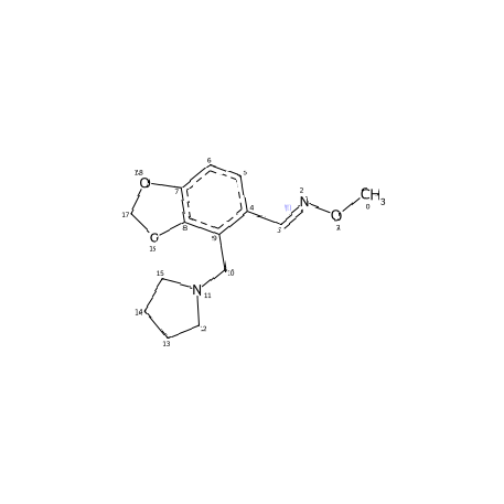 CO/N=C/c1ccc2c(c1CN1CCCC1)OCO2